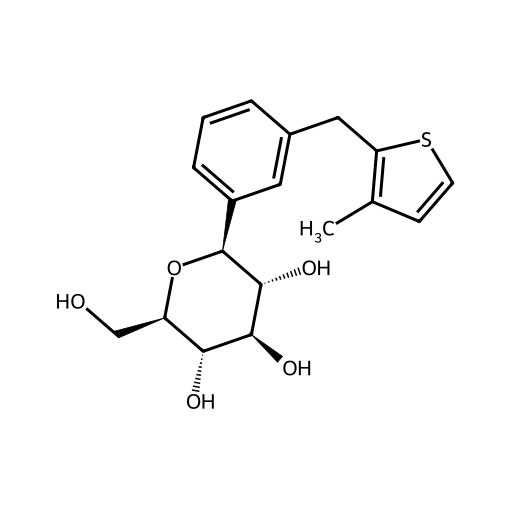 Cc1ccsc1Cc1cccc([C@@H]2O[C@H](CO)[C@@H](O)[C@H](O)[C@H]2O)c1